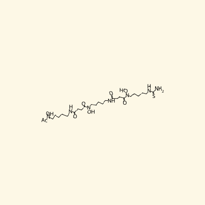 CC(=O)N(O)CCCCCNC(=O)CCC(=O)N(O)CCCCCNC(=O)CCC(=O)N(O)CCCCCNC(N)=S